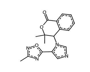 Cc1noc(-c2cncn2C2c3ccccc3C(=O)OC2(C)C)n1